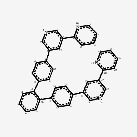 c1ccc(-c2cncc(-c3ccc(-c4ccccc4-c4ccc(-c5cncc(-c6ccccn6)c5)cc4)cc3)c2)nc1